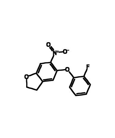 O=[N+]([O-])c1cc2c(cc1Oc1ccccc1F)CCO2